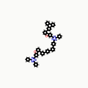 c1ccc(-c2nc(-c3ccccc3)nc(-c3ccc4c(c3)oc3cccc(-c5cccc(-c6ccc(-c7cccc(-c8ccc(-c9nc(-c%10ccccc%10)nc(-c%10ccc%11c(c%10)oc%10cccc(-c%12ccc%13c%14ccccc%14c%14ccccc%14c%13c%12)c%10%11)n9)cc8)c7)cc6)c5)c34)n2)cc1